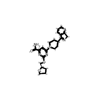 NC(=O)c1cc(N2CCC(C3=NCc4ncccc43)CC2)nc(OC[C@H]2CCCO2)n1